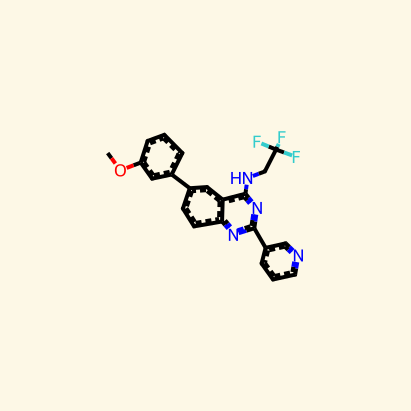 COc1cccc(-c2ccc3nc(-c4cccnc4)nc(NCC(F)(F)F)c3c2)c1